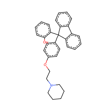 Oc1ccccc1C1(c2ccc(OCCN3CCCCC3)cc2)c2ccccc2-c2ccccc21